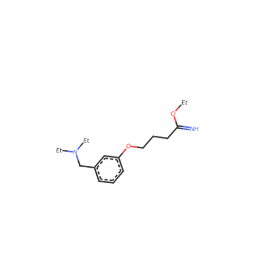 CCOC(=N)CCCOc1cccc(CN(CC)CC)c1